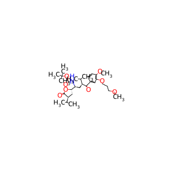 COCCCOc1cc(C(=O)[C@@H](C[C@H](NC(=O)OC(C)(C)C)[C@@H]2C[C@@H](C(C)C)C(=O)O2)C(C)C)ccc1OC